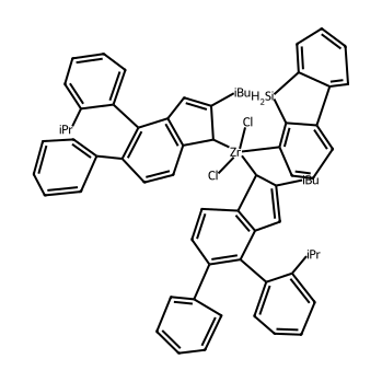 CCC(C)C1=Cc2c(ccc(-c3ccccc3)c2-c2ccccc2C(C)C)[CH]1[Zr]([Cl])([Cl])([c]1cccc2c1[SiH2]c1ccccc1-2)[CH]1C(C(C)CC)=Cc2c1ccc(-c1ccccc1)c2-c1ccccc1C(C)C